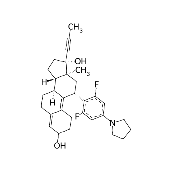 CC#C[C@]1(O)CC[C@H]2[C@@H]3CCC4=CC(O)CCC4=C3[C@@H](c3c(F)cc(N4CCCC4)cc3F)C[C@@]21C